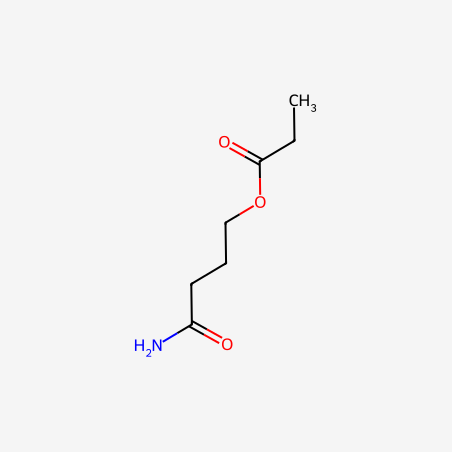 CCC(=O)OCCCC(N)=O